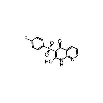 O=c1c(S(=O)(=O)c2ccc(F)cc2)c(O)[nH]c2ncccc12